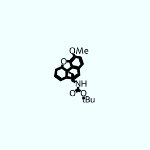 COc1ccc2c3c1OC1CC=CC(C=C2)[C@@]31CCNC(=O)OC(C)(C)C